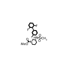 COC(=O)N1CCC[C@@H](NS(C)(=O)=O)[C@H]1Cc1cccc(-c2c(F)cccc2F)c1